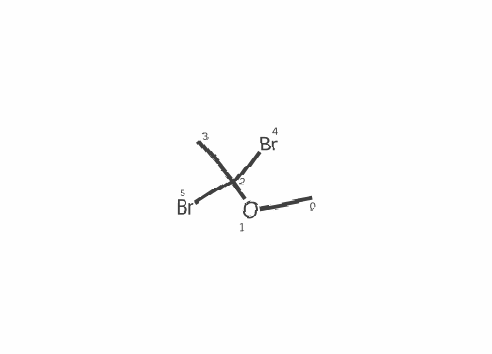 COC(C)(Br)Br